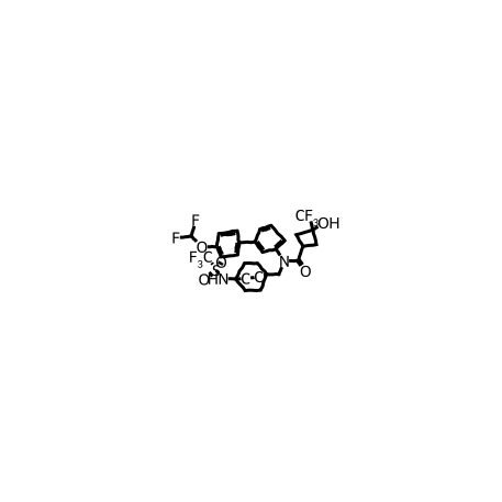 O=C(C1CC(O)(C(F)(F)F)C1)N(CC12CCC(NS(=O)(=O)C(F)(F)F)(CC1)CC2)c1cccc(-c2ccc(OC(F)F)cc2)c1